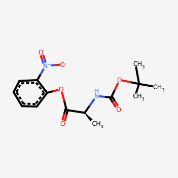 C[C@H](NC(=O)OC(C)(C)C)C(=O)Oc1ccccc1[N+](=O)[O-]